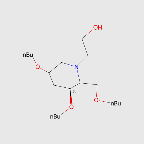 CCCCOCC1[C@@H](OCCCC)CC(OCCCC)CN1CCO